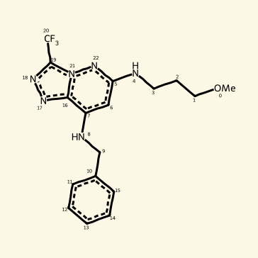 COCCCNc1cc(NCc2ccccc2)c2nnc(C(F)(F)F)n2n1